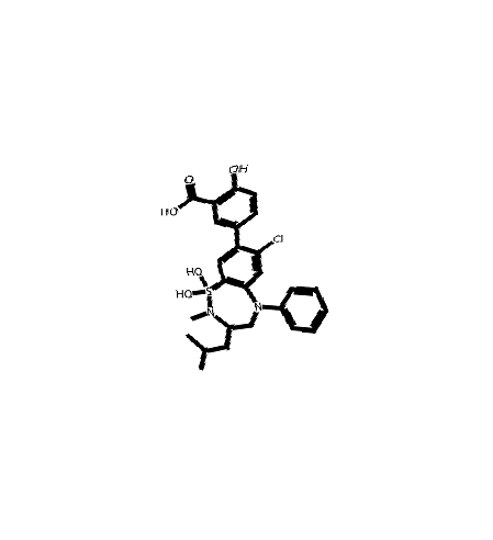 CC(C)CC1CN(c2ccccc2)c2cc(Cl)c(-c3ccc(O)c(C(=O)O)c3)cc2S(O)(O)N1C